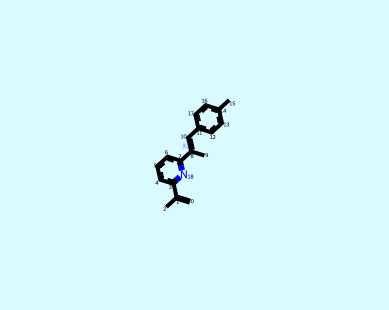 C=C(C)c1cccc(/C(C)=C/c2ccc(C)cc2)n1